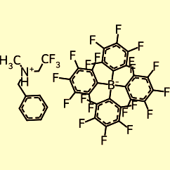 C[NH+](Cc1ccccc1)CC(F)(F)F.Fc1c(F)c(F)c([B-](c2c(F)c(F)c(F)c(F)c2F)(c2c(F)c(F)c(F)c(F)c2F)c2c(F)c(F)c(F)c(F)c2F)c(F)c1F